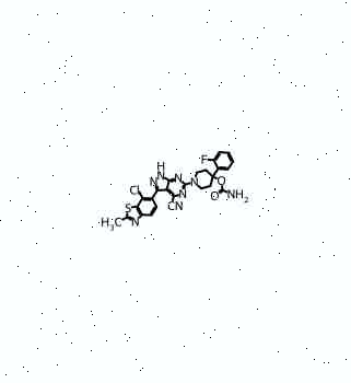 Cc1nc2ccc(-c3n[nH]c4nc(N5CCC(OC(N)=O)(c6ccccc6F)CC5)nc(C#N)c34)c(Cl)c2s1